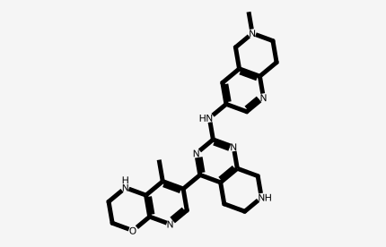 Cc1c(-c2nc(Nc3cnc4c(c3)CN(C)CC4)nc3c2CCNC3)cnc2c1NCCO2